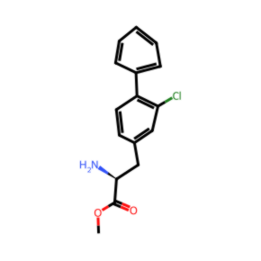 COC(=O)[C@@H](N)Cc1ccc(-c2ccccc2)c(Cl)c1